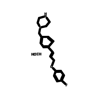 Cl.Cl.Fc1ccc(OCC=Cc2ccc(CN3CCNCC3)cc2)cc1